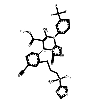 COC(=O)C1=C(C)N(c2cccc(C(F)(F)F)c2)c2n[nH]c(=O)n2[C@@H]1c1ccc(C#N)cc1CCC[N+](C)(C)c1nnco1